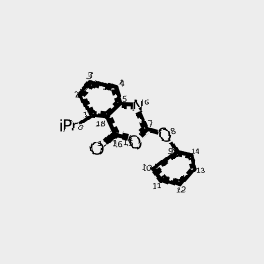 CC(C)c1cccc2nc(Oc3ccccc3)oc(=O)c12